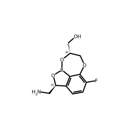 NC[C@H]1OB2O[C@H](CO)COc3c(F)ccc1c32